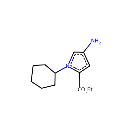 CCOC(=O)c1cc(N)cn1C1CCCCC1